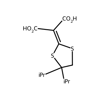 CC(C)C1(C(C)C)CSC(=C(C(=O)O)C(=O)O)S1